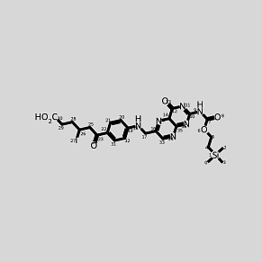 C[Si](C)(C)CCOC(=O)NC1=NC(=O)C2N=C(CNc3ccc(C(=O)CC(I)CCC(=O)O)cc3)C=NC2=N1